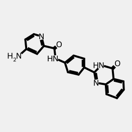 Nc1ccnc(C(=O)Nc2ccc(-c3nc4ccccc4c(=O)[nH]3)cc2)c1